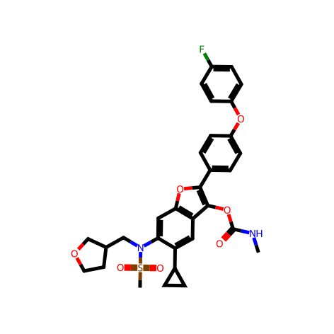 CNC(=O)Oc1c(-c2ccc(Oc3ccc(F)cc3)cc2)oc2cc(N(CC3CCOC3)S(C)(=O)=O)c(C3CC3)cc12